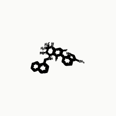 Cc1c[nH]c2c(-c3c(F)cc4c(c3F)[C@@H](NCc3cccc5ccccc35)[C@H](O)C(C)(C)N4)cccc12